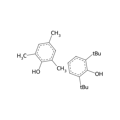 CC(C)(C)c1cccc(C(C)(C)C)c1O.Cc1cc(C)c(O)c(C)c1